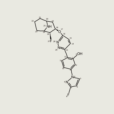 Oc1cc(-n2ccc(F)n2)ccc1-c1ccc(O[C@@H]2CC3CCCC(N3)[C@@H]2F)nn1